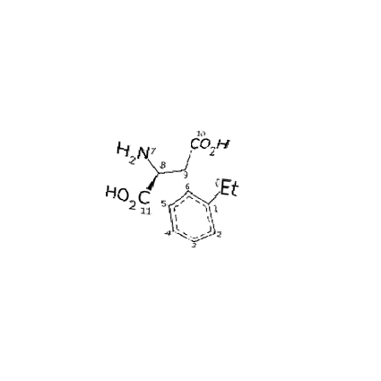 CCc1ccccc1.N[C@@H](CC(=O)O)C(=O)O